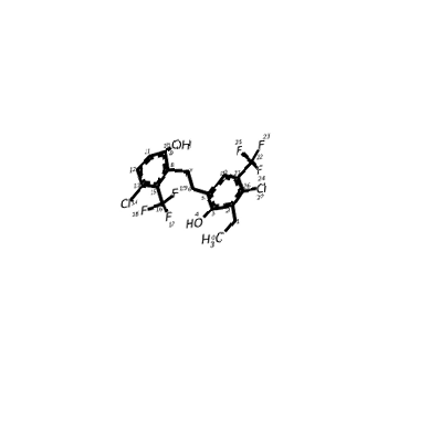 CCc1c(O)c(CCc2c(O)ccc(Cl)c2C(F)(F)F)cc(C(F)(F)F)c1Cl